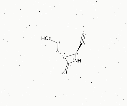 C#C[C@H]1NC(=O)[C@@H]1CCO